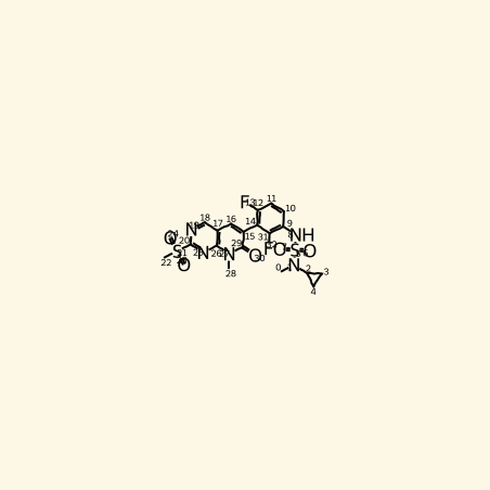 CN(C1CC1)S(=O)(=O)Nc1ccc(F)c(-c2cc3cnc(S(C)(=O)=O)nc3n(C)c2=O)c1F